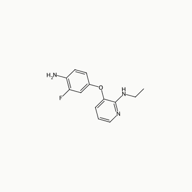 CCNc1ncccc1Oc1ccc(N)c(F)c1